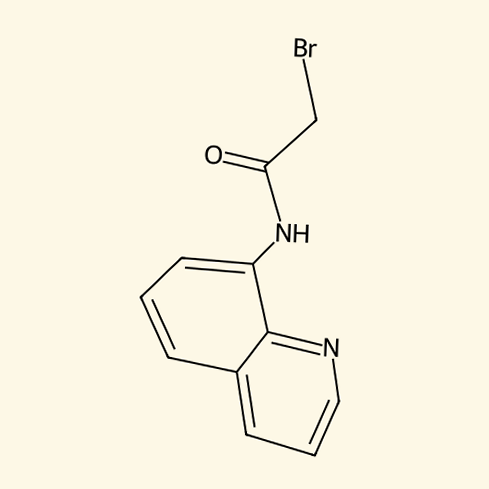 O=C(CBr)Nc1cccc2cccnc12